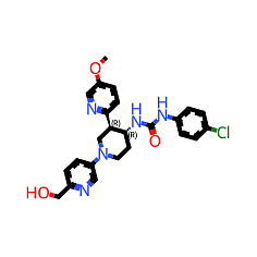 COc1ccc([C@@H]2CN(c3ccc(CO)nc3)CC[C@H]2NC(=O)Nc2ccc(Cl)cc2)nc1